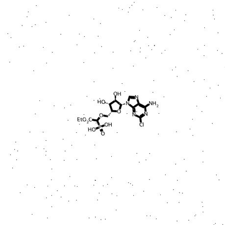 CCOC(=O)C(OC[C@H]1O[C@@H](n2cnc3c(N)nc(Cl)nc32)[C@H](O)[C@H]1O)P(=O)(O)O